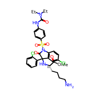 CCN(CC)C(=O)Nc1ccc(S(=O)(=O)N2C(=O)C(N[C@@H](CCCCN)C(=O)OC)(c3ccccc3Cl)c3cc(Cl)ccc32)cc1